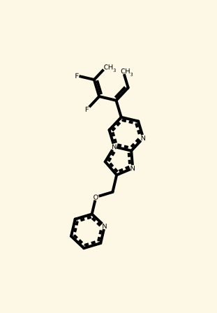 C/C=C(\C(F)=C(/C)F)c1cnc2nc(COc3ccccn3)cn2c1